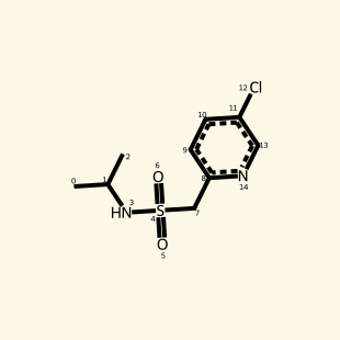 CC(C)NS(=O)(=O)Cc1ccc(Cl)cn1